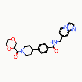 O=C(NCc1ccn2ccnc2c1)c1ccc(C2CCN(C(=O)C3COCCO3)CC2)cc1